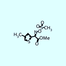 COC(=O)C(=NOS(C)(=O)=O)c1cc(C)cs1